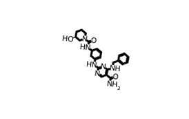 NC(=O)c1cnc(NC2=CC=CC(NC(=O)N3CCC[C@@H](O)C3)C2)nc1NCc1ccccc1